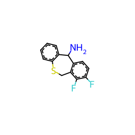 NC1c2ccccc2SCc2c1ccc(F)c2F